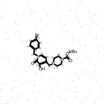 CC(C)(C)OC(=O)N1CCN(Cc2ccn(Cc3ccc(Br)cc3)c(=O)c2O)CC1